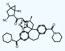 C[C@@H](CC1(c2nnn[nH]2)c2ccc(C(=O)N3CCCCC3)cc2CCc2cc(C(=O)N3CCCCC3)ccc21)NCC(=O)N1C(C#N)C[C@@H]2C[C@@H]21